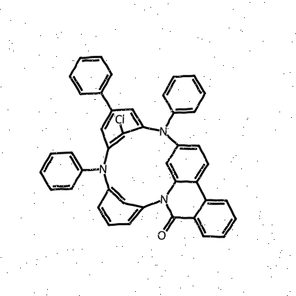 O=c1c2ccccc2c2ccc3cc2n1c1cccc(c1)n(-c1ccccc1)c1cc(-c2ccccc2)cc(c1Cl)n3-c1ccccc1